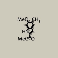 COC(=O)c1cc2cc(C)c(OC)cc2[nH]1